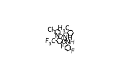 Cc1ccccc1C[C@@](NC(=O)Nc1cccc(F)c1)(c1cc(F)cc(C(F)(F)F)c1)c1ccc(Cl)cn1